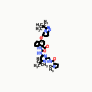 CN1CCC[C@H]1C(=O)NCc1nc(NC(=O)N[C@@]2(C=O)C=C[C@@H](Oc3ccc4nnc(C(C)(C)C)n4c3)c3ccccc32)cc(C(C)(C)C)n1